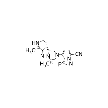 C[C@@H]1NCCc2c1nn1c2CN(c2ccc(C#N)n3ncc(F)c23)C[C@H]1C